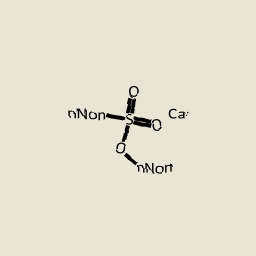 CCCCCCCCCOS(=O)(=O)CCCCCCCCC.[Ca]